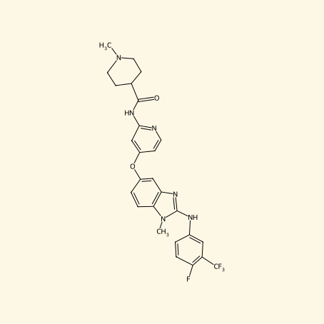 CN1CCC(C(=O)Nc2cc(Oc3ccc4c(c3)nc(Nc3ccc(F)c(C(F)(F)F)c3)n4C)ccn2)CC1